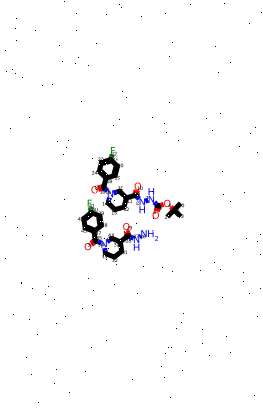 CC(C)(C)OC(=O)NNC(=O)C1CCCN(C(=O)c2ccc(F)cc2)C1.NNC(=O)C1CCCN(C(=O)c2ccc(F)cc2)C1